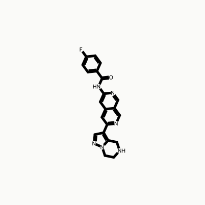 O=C(Nc1cc2cc(-c3cnn4c3CNCC4)ncc2cn1)c1ccc(F)cc1